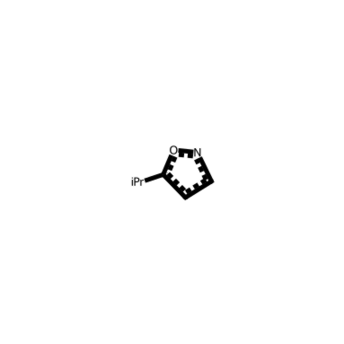 CC(C)c1ccno1